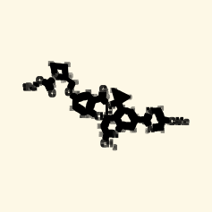 COc1cnc(-c2cc(C3(NC(=O)c4cc(OC[C@@H]5CCN5C(=O)OC(C)(C)C)ccc4C)CC3)c3ccc(C)nc3c2)nc1